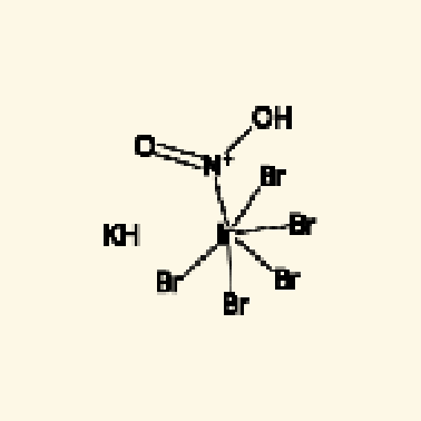 O=[N+](O)[Ir]([Br])([Br])([Br])([Br])[Br].[KH]